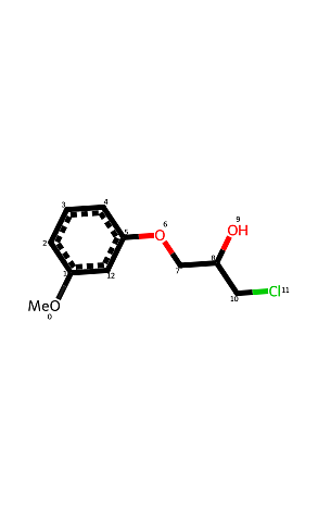 COc1cccc(OCC(O)CCl)c1